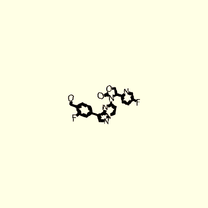 O=Cc1ccc(-c2cnn3ccc(N4C(=O)OCC4c4ccc(F)cn4)nc23)cc1F